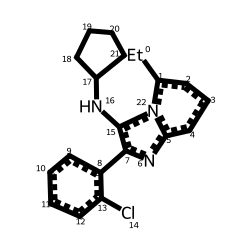 CCc1cccc2nc(-c3ccccc3Cl)c(NC3CCCC3)n12